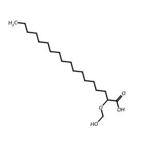 CCCCCCCCCCCCCCCCC(OCO)C(=O)O